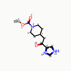 CC(C)(C)OC(=O)N1CCC(CC(=O)c2c[nH][c]n2)CC1